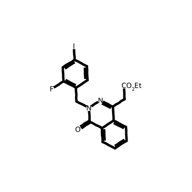 CCOC(=O)Cc1nn(Cc2ccc(I)cc2F)c(=O)c2ccccc12